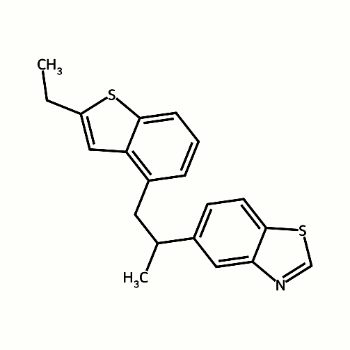 CCc1cc2c(CC(C)c3ccc4scnc4c3)cccc2s1